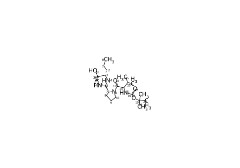 CCC[C@H](NC(=N)[C@@H]1CCCN1C(=O)C(NC(=O)OC(C)(C)C)C(C)C)C(=O)O